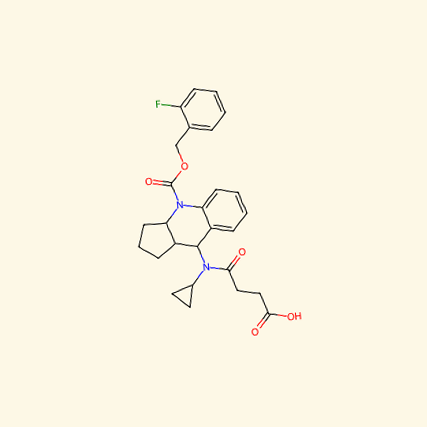 O=C(O)CCC(=O)N(C1CC1)C1c2ccccc2N(C(=O)OCc2ccccc2F)C2CCCC21